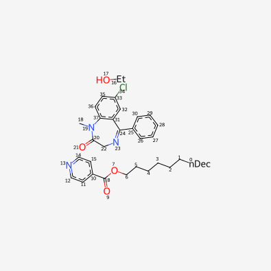 CCCCCCCCCCCCCCCCOC(=O)c1ccncc1.CCO.CN1C(=O)CN=C(c2ccccc2)c2cc(Cl)ccc21